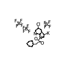 F[B-](F)(F)F.F[B-](F)(F)F.F[B-](F)(F)F.O=S(=O)(Cc1ccccc1)n1c[c]([K])c2cc(Cl)cnc21